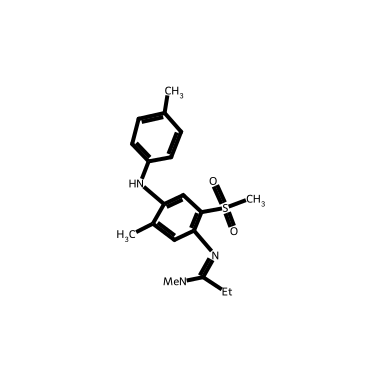 CCC(=Nc1cc(C)c(Nc2ccc(C)cc2)cc1S(C)(=O)=O)NC